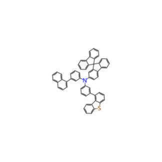 c1cc(-c2cccc3ccccc23)cc(N(c2cccc(-c3cccc4sc5ccccc5c34)c2)c2ccc3c(c2)C2(c4ccccc4-c4ccccc42)c2ccccc2-3)c1